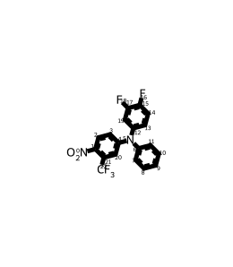 O=[N+]([O-])c1ccc(N(c2ccccc2)c2ccc(F)c(F)c2)cc1C(F)(F)F